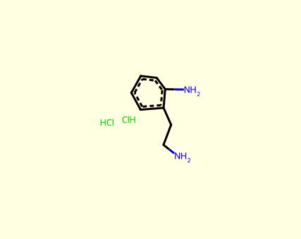 Cl.Cl.NCCc1ccccc1N